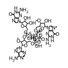 COC1C(COP(=O)(O)OP(=O)(O)OP(=O)(O)OCC2OC(n3cnc4c(N)ncnc43)C(OC)C2OP(O)(=S)OCC2OC(n3cnc4c(=O)[nH]c(N)nc43)C(O)C2O)OC(n2c[n+](C)c3c(=O)[nH]c(N)nc32)C1O